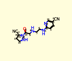 N#Cc1ccc(NCCNCC(=O)N2NCC[C@H]2C#N)nc1